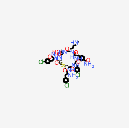 CNCCCC[C@@H]1NC(=O)[C@@H](Cc2ccc(C(N)=O)cc2)NC(=O)[C@H](Cc2ccc(Cl)cc2)NC(=O)[C@H](NC(=O)[C@@H](N)Cc2ccc(Cl)cc2)CSSC[C@@H](C(=O)/N=C(\Cc2ccc(Cl)cc2)C(N)=O)NC(=O)[C@H]([C@@H](C)O)NC1=O